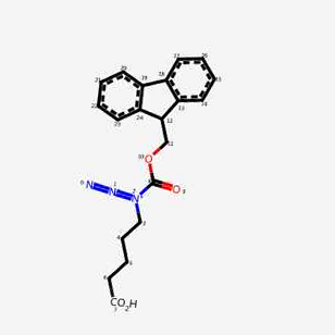 [N-]=[N+]=[N+](CCCCC(=O)O)C(=O)OCC1c2ccccc2-c2ccccc21